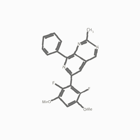 COc1cc(OC)c(F)c(-c2cc3cnc(C)nc3c(-c3ccccc3)n2)c1F